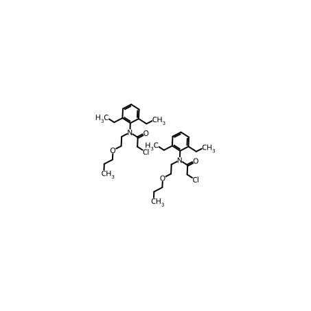 CCCOCCN(C(=O)CCl)c1c(CC)cccc1CC.CCCOCCN(C(=O)CCl)c1c(CC)cccc1CC